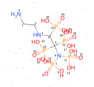 NCCNC(C(N(P(=O)(O)O)P(=O)(O)O)(P(=O)(O)O)P(=O)(O)O)P(=O)(O)O